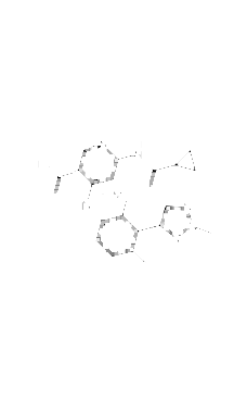 CCC(=O)c1cnc(NC(=O)C2CC2)cc1Nc1ccc(F)c(-c2cnn(C)n2)c1OC